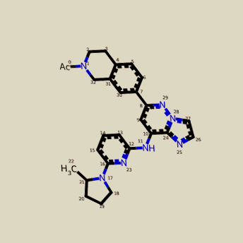 CC(=O)N1CCc2ccc(-c3cc(Nc4cccc(N5CCCC5C)n4)c4nccn4n3)cc2C1